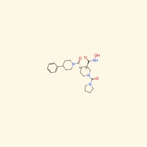 O=C(NO)[C@H]1CN(C(=O)N2CCCC2)CC[C@@H]1C(=O)N1CCC(c2ccccc2)CC1